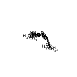 CC(C)(C)OC(=O)CCCN1CCC2(CC1)CN(c1ccc(C(=N)NC(=O)OC(C)(C)C)cc1)C(=O)O2